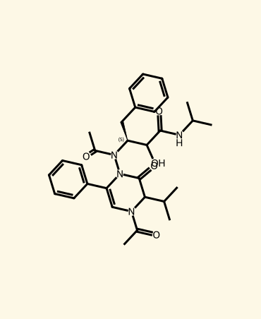 CC(=O)N1C=C(c2ccccc2)N(N(C(C)=O)[C@@H](Cc2ccccc2)C(O)C(=O)NC(C)C)C(=O)C1C(C)C